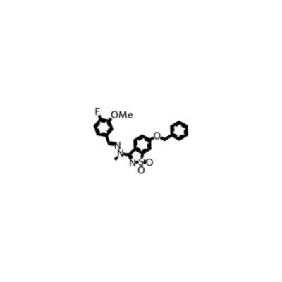 COc1cc(/C=N/N(C)C2=NS(=O)(=O)c3cc(OCc4ccccc4)ccc32)ccc1F